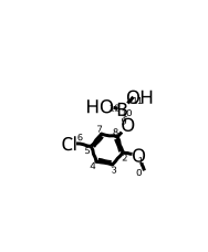 COc1ccc(Cl)cc1OB(O)O